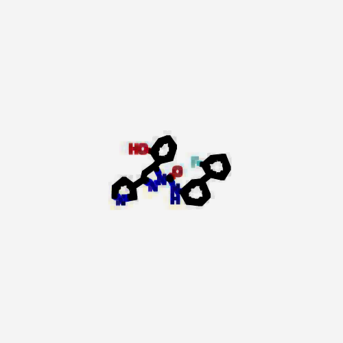 O=C(Nc1cccc(-c2ccccc2F)c1)N1N=C(c2cccnc2)CC1c1ccccc1O